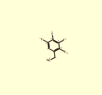 N#CCc1cc(F)c(F)c(F)c1F